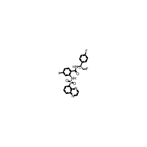 O=C(N[C@H](CF)c1ccc(F)cc1)c1ccc(I)cc1NS(=O)(=O)c1cccc2nccnc12